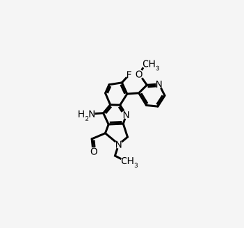 CCN1Cc2nc3c(-c4cccnc4OC)c(F)ccc3c(N)c2C1C=O